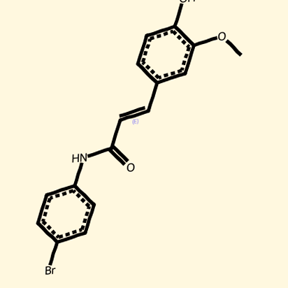 COc1cc(/C=C/C(=O)Nc2ccc(Br)cc2)ccc1O